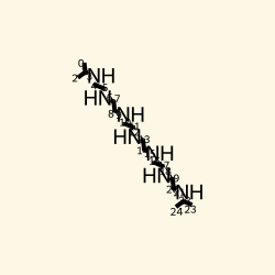 CC(C)NCCNCCNCCNCCNCCNCCNC(C)C